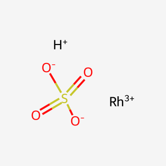 O=S(=O)([O-])[O-].[H+].[Rh+3]